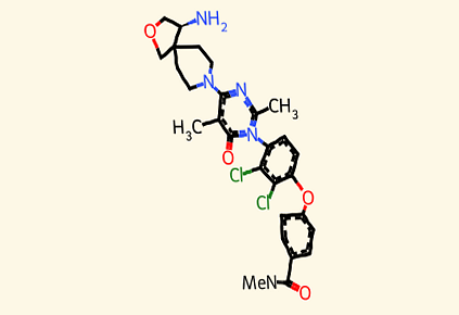 CNC(=O)c1ccc(Oc2ccc(-n3c(C)nc(N4CCC5(CC4)COC[C@H]5N)c(C)c3=O)c(Cl)c2Cl)cc1